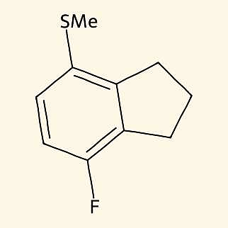 CSc1ccc(F)c2c1CCC2